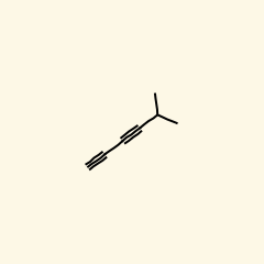 C#CC#CC(C)C